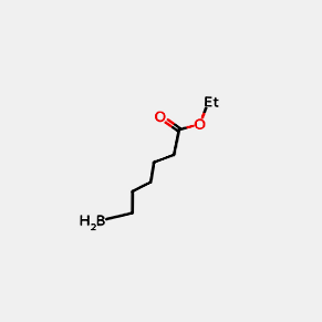 BCCCCCC(=O)OCC